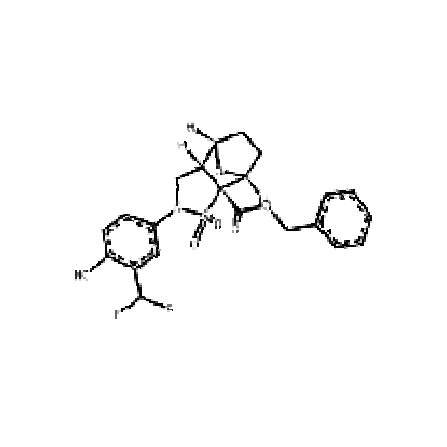 N#Cc1ccc(N2C[C@@H]3[C@@H]4CC[C@@H](O4)[C@]3(C(=O)OCc3ccccc3)S2(=O)=O)cc1C(F)F